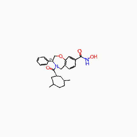 CC1CCC(C)CC(C(=O)N2Cc3ccc(C(=O)NO)cc3OC[C@@H]2c2ccccc2)C1